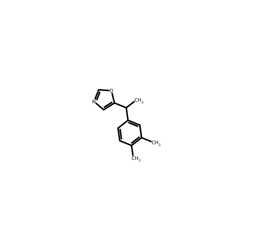 Cc1ccc(C(C)c2cnco2)cc1C